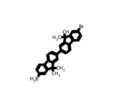 Bc1ccc2c(c1)C(C)(C)c1cc(-c3ccc4c(c3)C(C)(C)c3cc(Br)ccc3-4)ccc1-2